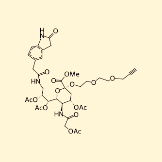 C#CCOCCOCCO[C@]1(C(=O)OC)C[C@H](OC(C)=O)[C@@H](NC(=O)COC(C)=O)[C@H]([C@H](OC(C)=O)[C@@H](CNC(=O)Cc2ccc3c(c2)CC(=O)N3)OC(C)=O)O1